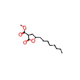 CCCCCCCCC1CC(C(=O)OC)C(=O)O1